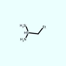 CCC[SiH](N)[SiH3]